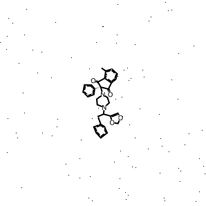 Cc1cccc2c1C(=O)[C@](c1ccccc1)(N1CCN(C(Cc3ccccc3)C3=COCO3)CC1)C2=O